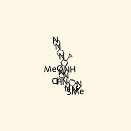 COc1cc(N2CCC(N3CCN(C)CC3)CC2)c(C2CC2)cc1Nc1ncc(Cl)c(Nc2ccc3nccnc3c2N(C)SC)n1